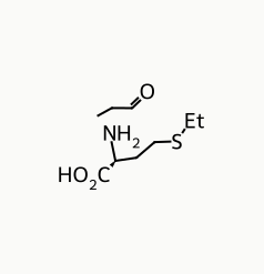 CCC=O.CCSCC[C@H](N)C(=O)O